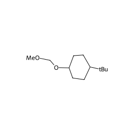 COCOC1CCC(C(C)(C)C)CC1